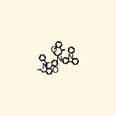 C=C1/C=C(N(c2ccc3c(c2)oc2ccc(CCC)c(/N=C(\C)c4ccccc4)c23)c2ccc3c4ccccc4n(-c4ccccc4)c3c2)\C=C/Oc2ccccc21